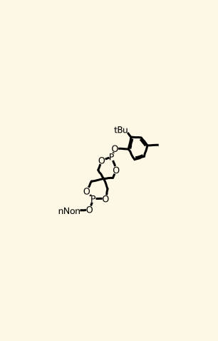 CCCCCCCCCOP1OCC2(CO1)COP(Oc1ccc(C)cc1C(C)(C)C)OC2